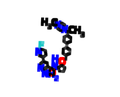 CC(c1ccc(-c2ccc(COC3CCC[C@@H]3NC(=O)c3cc(-c4ccc(F)nc4)cnc3N)cc2)cc1)N1CCN(C)CC1